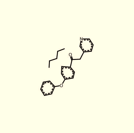 CCCCC.O=C(Cc1cccnc1)c1ccc(Oc2ccccc2)cc1